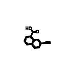 C#Cc1ccc2cccc(C(=O)O)c2c1